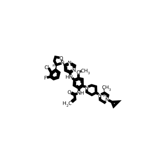 C=CC(=O)Nc1cc(Nc2cc(N3OCC[C@@H]3c3cccc(F)c3Cl)ncn2)c(OC)cc1N1CCC(N2CCN(C3CC3)C[C@H]2C)CC1